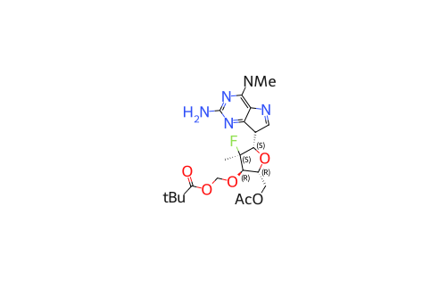 CNc1nc(N)nc2c1N=CC2[C@@H]1O[C@H](COC(C)=O)[C@@H](OCOC(=O)C(C)(C)C)[C@@]1(C)F